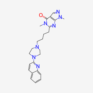 Cn1c(CCCCN2CCN(c3ccc4ccccc4n3)CC2)nc2c(cnn2C)c1=O